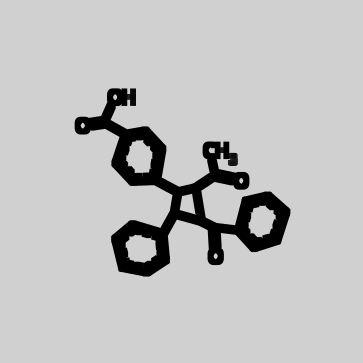 CC(=O)C1C(C(=O)c2ccccc2)C(c2ccccc2)C1c1ccc(C(=O)O)cc1